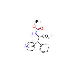 CC(C)(C)OC(=O)NC(C(=O)O)C(c1ccccc1)[C@@H]1CN2CCC1CC2